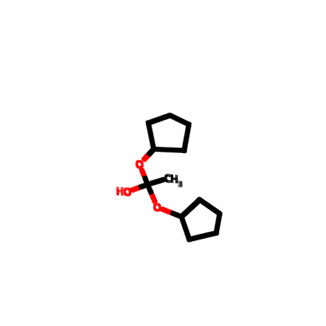 CC(O)(OC1CCCC1)OC1CCCC1